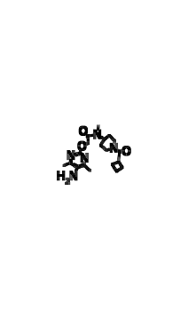 Cc1nc(OCC(=O)N(C)C2CCN(C(=O)C3CCC3)CC2)nc(C)c1N